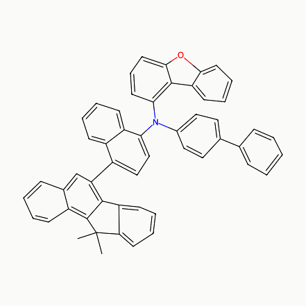 CC1(C)c2ccccc2-c2c(-c3ccc(N(c4ccc(-c5ccccc5)cc4)c4cccc5oc6ccccc6c45)c4ccccc34)cc3ccccc3c21